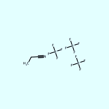 CCC#N.F[B-](F)(F)F.F[B-](F)(F)F.F[B-](F)(F)F